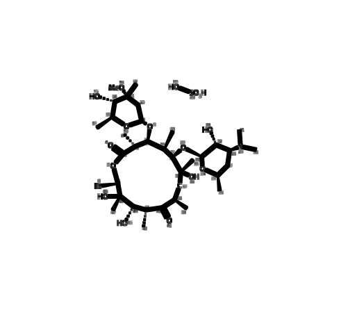 CC[C@H]1OC(=O)[C@H](C)[C@@H](O[C@H]2C[C@@](C)(OC)[C@@H](O)[C@H](C)O2)[C@@H](C)[C@@H](O[C@@H]2O[C@H](C)C[C@H](N(C)C)[C@H]2O)[C@](C)(O)C[C@@H](C)C(=O)[C@H](C)[C@H](O)[C@]1(C)O.O=S(=O)(O)O